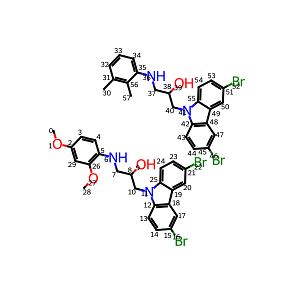 COc1ccc(NCC(O)Cn2c3ccc(Br)cc3c3cc(Br)ccc32)c(OC)c1.Cc1cccc(NCC(O)Cn2c3ccc(Br)cc3c3cc(Br)ccc32)c1C